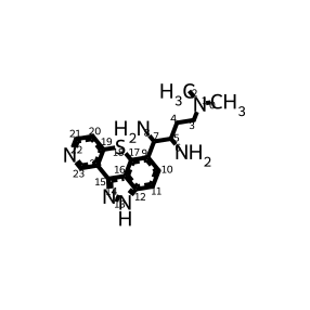 CN(C)CCC(N)C(N)c1ccc2[nH]nc3c2c1Sc1ccncc1-3